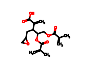 C=C(C)C(=O)OCC(OC(=O)C(=C)C)C(CC1CO1)C(=C)C(=O)O